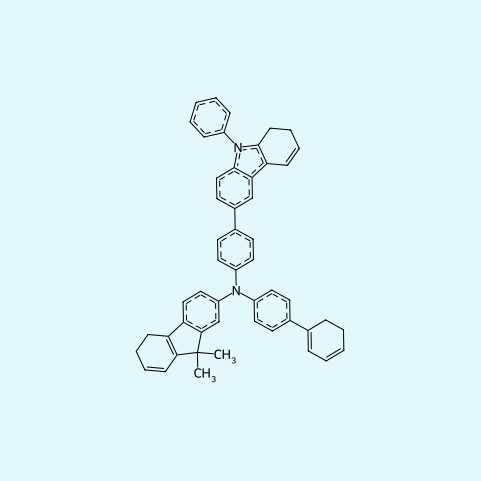 CC1(C)C2=C(CCC=C2)c2ccc(N(c3ccc(C4=CC=CCC4)cc3)c3ccc(-c4ccc5c(c4)c4c(n5-c5ccccc5)CCC=C4)cc3)cc21